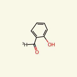 [3H]C(=O)c1ccccc1O